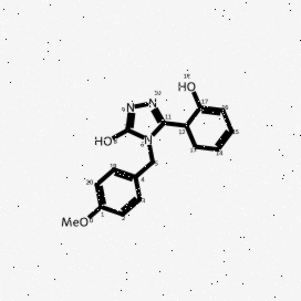 COc1ccc(Cn2c(O)nnc2C2CC=CC=C2O)cc1